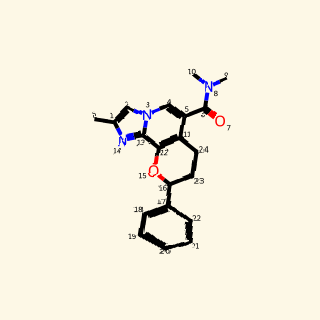 Cc1cn2cc(C(=O)N(C)C)c3c(c2n1)OC(c1ccccc1)CC3